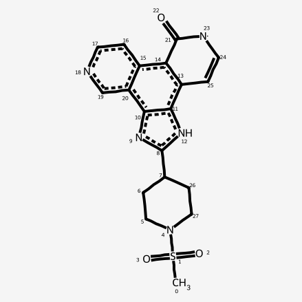 CS(=O)(=O)N1CCC(c2nc3c([nH]2)c2c(c4ccncc43)C(=O)[N]C=C2)CC1